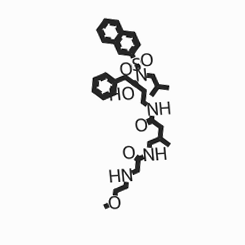 COCCNCC(=O)NCC(C)CC(=O)NCCC(O)(Cc1ccccc1)N(CC(C)C)S(=O)(=O)c1ccc2ccccc2c1